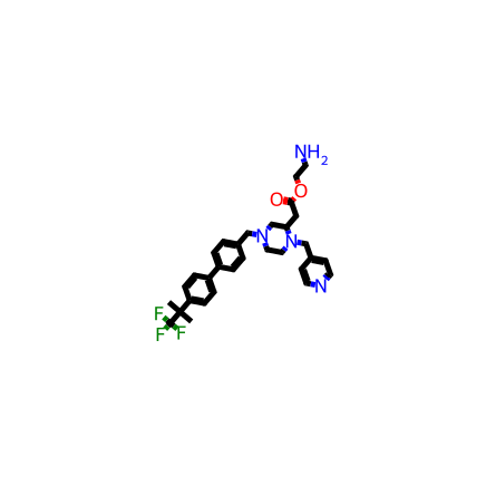 CC(C)(c1ccc(-c2ccc(CN3CCN(Cc4ccncc4)C(CC(=O)OCCN)C3)cc2)cc1)C(F)(F)F